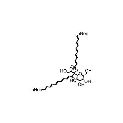 CCCCCCCCCC=CC=CC=CC=CC=CC(=O)OC(C(=O)C=CC=CC=CC=CC=CCCCCCCCCC)(C(O)CO)C1O[C@H](CO)[C@H](O)[C@H](O)[C@H]1O